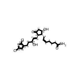 NC(=O)CCC/C=C\C[C@H]1[C@@H](O)CC(=O)[C@@H]1/C=C/[C@@H](O)CCc1cc(Cl)sc1Cl